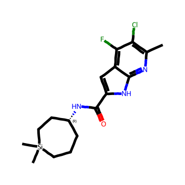 Cc1nc2[nH]c(C(=O)N[C@@H]3CCC[Si](C)(C)CC3)cc2c(F)c1Cl